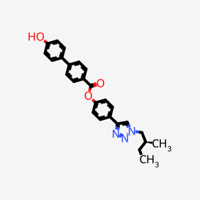 CC[C@H](C)Cn1cc(-c2ccc(OC(=O)c3ccc(-c4ccc(O)cc4)cc3)cc2)nn1